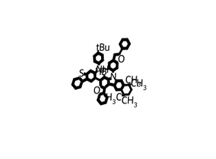 CC(C)(C)c1ccc(Nc2cc3sc4ccccc4c3cc2-c2c3c4c(c5cc6c(cc5n4-c4cc5oc(-c7ccccc7)cc5cc4B3)C(C)(C)CCC6(C)C)c3c2oc2ccccc23)cc1